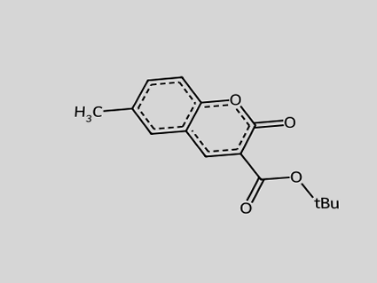 Cc1ccc2oc(=O)c(C(=O)OC(C)(C)C)cc2c1